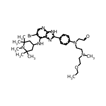 CCOCCN(C)CCN(CC=O)c1ccc(-c2nc3c(NC4CC(C)(C)N(C)C(C)(C)C4)c(Br)cnc3[nH]2)cc1